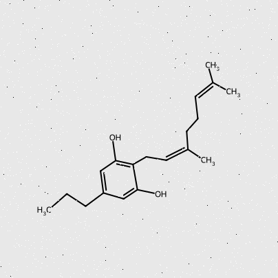 CCCc1cc(O)c(CC=C(C)CCC=C(C)C)c(O)c1